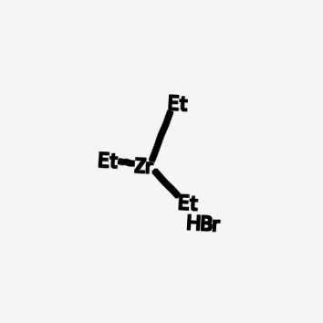 Br.C[CH2][Zr]([CH2]C)[CH2]C